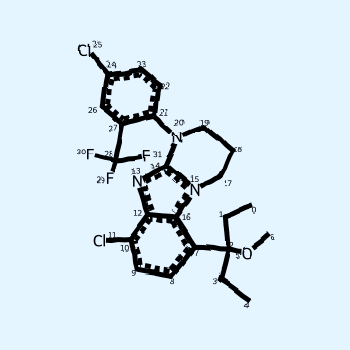 CCC(CC)(OC)c1ccc(Cl)c2nc3n(c12)CCCN3c1ccc(Cl)cc1C(F)(F)F